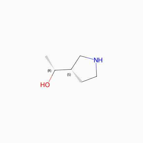 C[C@@H](O)[C@H]1CCNC1